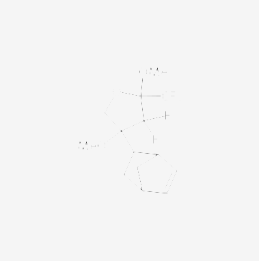 COC1(C2CC3C=CC2C3)COC(OC)(C(F)(F)F)C1(F)F